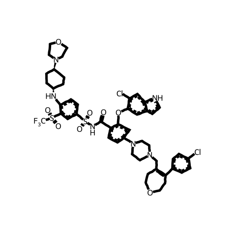 O=C(NS(=O)(=O)c1ccc(N[C@H]2CC[C@H](N3CCOCC3)CC2)c(S(=O)(=O)C(F)(F)F)c1)c1ccc(N2CCN(CC3=C(c4ccc(Cl)cc4)CCOCC3)CC2)cc1Oc1cc2cc[nH]c2cc1Cl